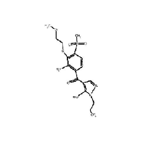 CCCn1ncc(C(=O)c2ccc(S(C)(=O)=O)c(OCCOC)c2C)c1O